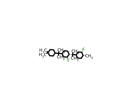 C[C@@H]1CCC(C(C)(C)[C@H]2CCC(C(C)(C)C3CCC(C)(C)CC3)C[C@@H]2F)C[C@@H]1F